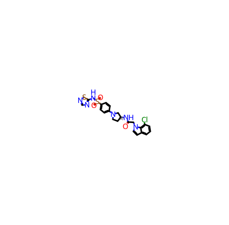 O=C(Cn1ccc2cccc(Cl)c21)N[C@H]1CCN(c2ccc(S(=O)(=O)Nc3ncns3)cc2)C1